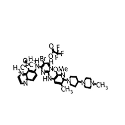 COc1nc(N2CCC(N3CCN(C)CC3)CC2)c(C)cc1Nc1ncc(Br)c(Nc2ccc3nccnc3c2P(C)(C)=O)n1.O=C(O)C(F)(F)F